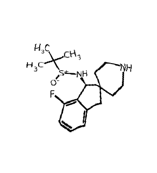 CC(C)(C)[S+]([O-])N[C@@H]1c2c(F)cccc2CC12CCNCC2